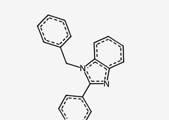 c1ccc(Cn2c(-c3ccncc3)nc3ccccc32)cc1